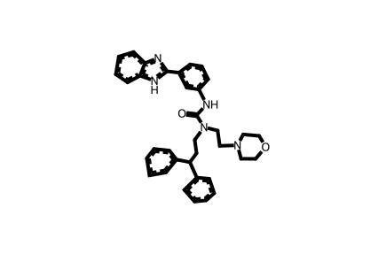 O=C(Nc1cccc(-c2nc3ccccc3[nH]2)c1)N(CCC(c1ccccc1)c1ccccc1)CCN1CCOCC1